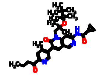 CCCC(=O)c1cc(C)c(-c2cc3cnc(NC(=O)C4CC4)cc3n(CC(C)(C)O[Si](C)(C)C(C)(C)C)c2=O)cn1